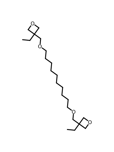 CCC1(COCCCCCCCCCCOCC2(CC)COC2)COC1